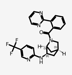 O=C(c1ccccc1-c1ncccn1)N1C[C@H]2C[C@@H](Nc3ccc(C(F)(F)F)cn3)[C@@H]1C2